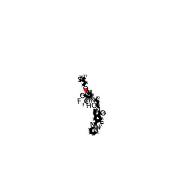 C[C@@H](CC(O)Cn1ccc2cc(-c3nc4ccccn4n3)c(F)cc2c1=O)Nc1cnn(COCC[Si](C)(C)C)c(=O)c1C(F)(F)F